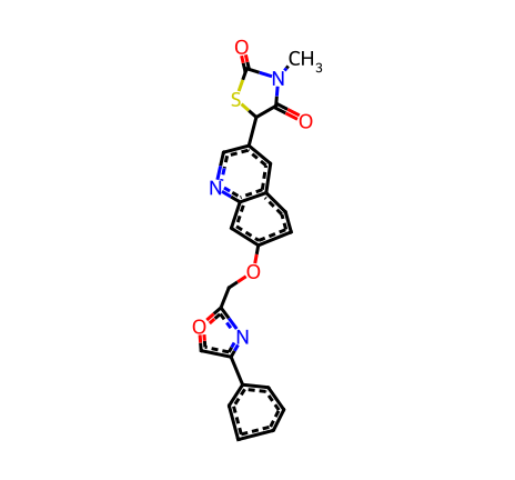 CN1C(=O)SC(c2cnc3cc(OCc4nc(-c5ccccc5)co4)ccc3c2)C1=O